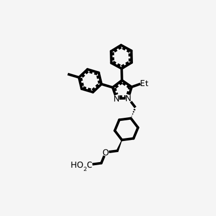 CCc1c(-c2ccccc2)c(-c2ccc(C)cc2)nn1C[C@H]1CC[C@H](COCC(=O)O)CC1